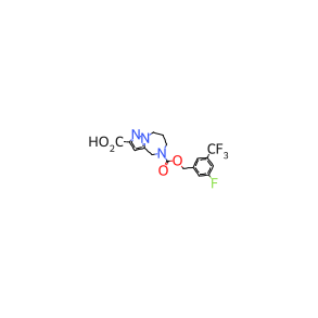 O=C(O)c1cc2n(n1)CCCN(C(=O)OCc1cc(F)cc(C(F)(F)F)c1)C2